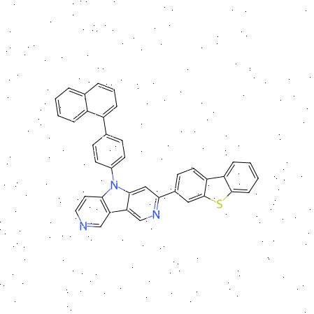 c1ccc2c(-c3ccc(-n4c5ccncc5c5cnc(-c6ccc7c(c6)sc6ccccc67)cc54)cc3)cccc2c1